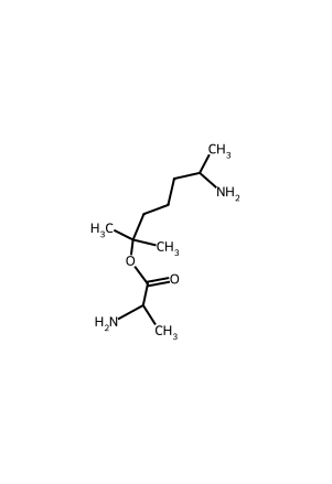 CC(N)CCCC(C)(C)OC(=O)C(C)N